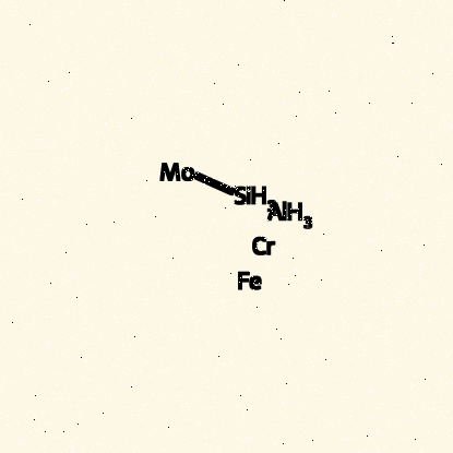 [AlH3].[Cr].[Fe].[SiH3][Mo]